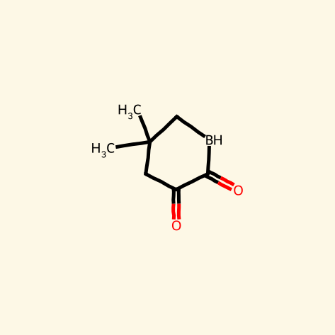 CC1(C)CBC(=O)C(=O)C1